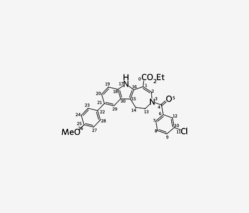 CCOC(=O)C1=CN(C(=O)c2cccc(Cl)c2)CCc2c1[nH]c1ccc(-c3ccc(OC)cc3)cc21